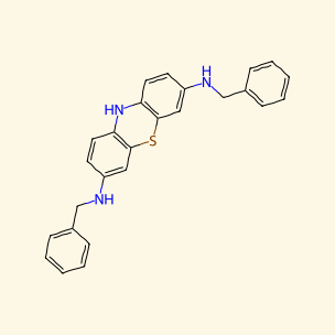 c1ccc(CNc2ccc3c(c2)Sc2cc(NCc4ccccc4)ccc2N3)cc1